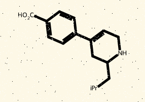 CC(C)CC1CC(c2ccc(C(=O)O)cc2)=CCN1